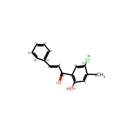 Cc1cc(O)c(C(=O)C=Cc2ccccc2)cc1Cl